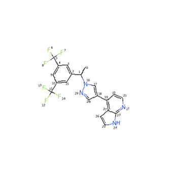 CC(c1cc(C(F)(F)F)cc(C(F)(F)F)c1)n1cc(-c2ccnc3[nH]ccc23)cn1